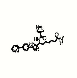 CNC(=O)CCCCCC(NC(=O)c1cncs1)c1ncc(-c2ccc(-c3ccccn3)cc2)[nH]1